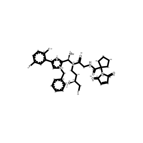 CC(C)(C)[C@H](c1nc(-c2cc(F)ccc2F)cn1Cc1ccccc1)N(CC[C@H](N)CF)C(=O)CNC(=O)C1(N2C(=O)C=CC2=O)CCCC1